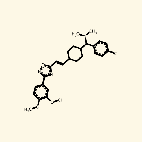 COc1ccc(-c2noc(C=CC3CCC(C(c4ccc(Cl)cc4)N(C)C)CC3)n2)cc1OC